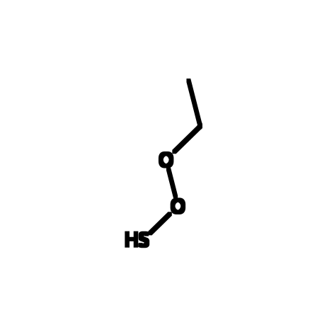 CCOOS